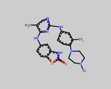 CCN1CCN(c2ccc(Nc3ncc(C)c(Nc4ccc5oc(=O)[nH]c5c4)n3)cc2C(F)(F)F)CC1